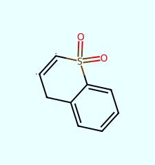 O=S1(=O)[C]=[C]Cc2ccccc21